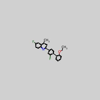 CCOc1ccccc1-c1ccc(-c2cc(C)c3cc(F)ccc3n2)cc1F